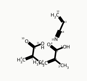 C=C(C)C(=O)O.C=C(C)C(=O)O.C=CC#N